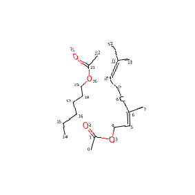 CC(=O)OCC=C(C)CCC=C(C)C.CCCCCCOC(C)=O